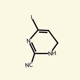 N#CC1=NC(I)=CCN1